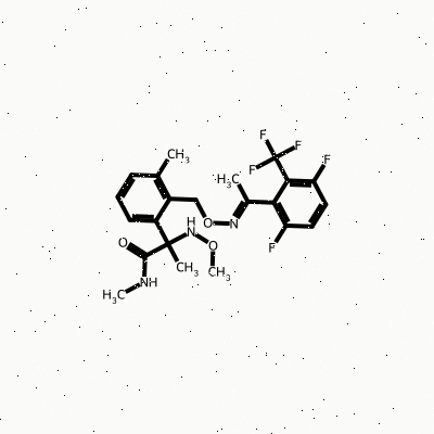 CNC(=O)C(C)(NOC)c1cccc(C)c1CO/N=C(\C)c1c(F)ccc(F)c1C(F)(F)F